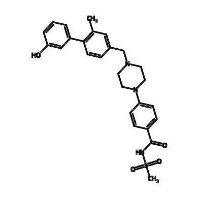 Cc1cc(CN2CCN(c3ccc(C(=O)NS(C)(=O)=O)cc3)CC2)ccc1-c1cccc(O)c1